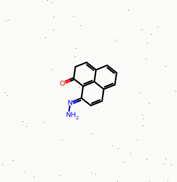 NN=C1C=Cc2cccc3c2=C1C(=O)CC=3